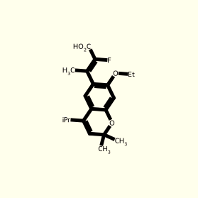 CCOc1cc2c(cc1C(C)=C(F)C(=O)O)C(C(C)C)=CC(C)(C)O2